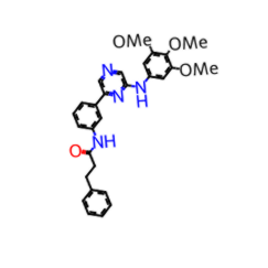 COc1cc(Nc2cncc(-c3cccc(NC(=O)CCc4ccccc4)c3)n2)cc(OC)c1OC